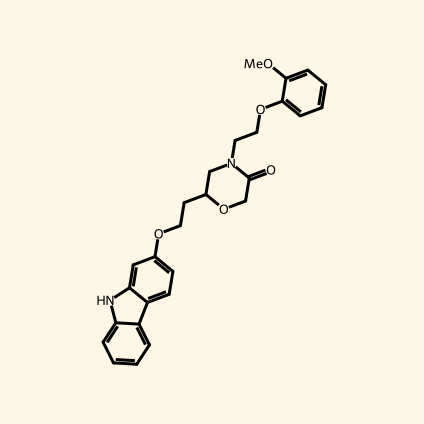 COc1ccccc1OCCN1CC(CCOc2ccc3c(c2)[nH]c2ccccc23)OCC1=O